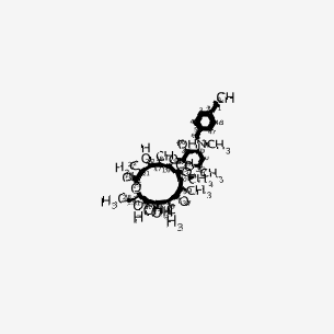 C#Cc1ccc(CN(C)[C@H]2C[C@@H](C)O[C@@H](O[C@@H]3[C@@H](C)[C@H](O)[C@@H](C)C(=O)O[C@H](CC)[C@@](C)(O)[C@H](O)[C@@H](C)C(=O)[C@H](C)C[C@@]3(C)OC)[C@@H]2O)cc1